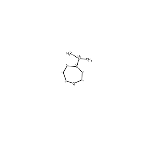 C[SH](C)N1CCCOCC1